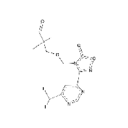 CC(C)(C=O)COCn1c(-c2cc(C(F)F)ncn2)noc1=O